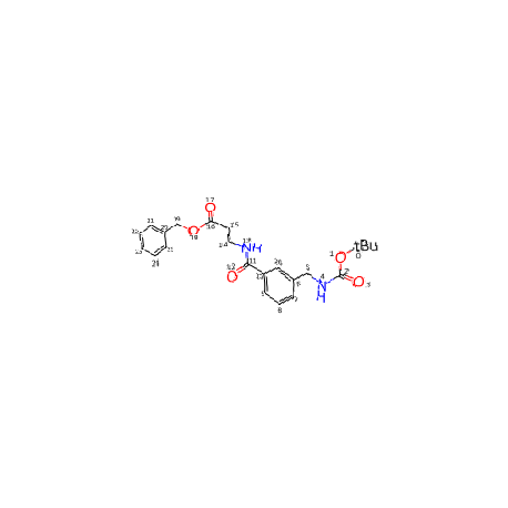 CC(C)(C)OC(=O)NCc1cccc(C(=O)NCCC(=O)OCc2ccccc2)c1